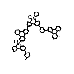 CC1C=C(c2ccc3c(c2)c2ccccc2c(=O)n3-c2ccc3c4ccc(-c5ccc6c(=O)n(-c7ccccc7)c7ccc(-c8cccc(-c9ccc%10c(c9)c9c(c%11ccccc%11%10)C(C)CC=C9)c8)cc7c6c5)cc4c4ccccc4c3c2)C=CC1